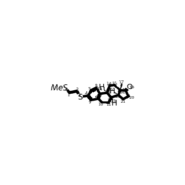 CSCCSc1ccc2c(c1)CC[C@@H]1[C@@H]2CC[C@]2(C)C(=O)CC[C@@H]12